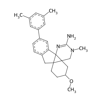 COC1CCC23Cc4ccc(-c5cc(C)cc(C)c5)cc4C24N=C(N)N(C)CC34C1